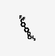 CCOc1ccc(-c2ccc(C=C(F)F)cc2)cc1